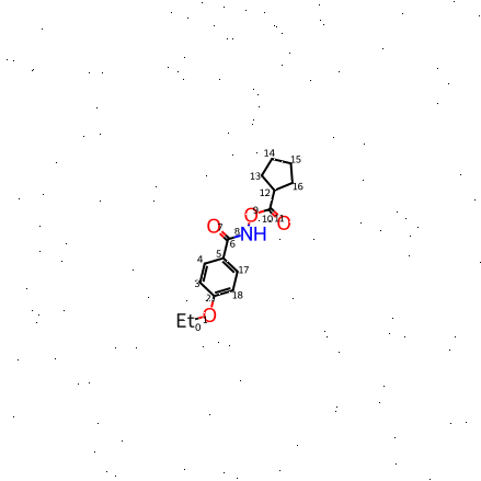 CCOc1ccc(C(=O)NOC(=O)C2CCCC2)cc1